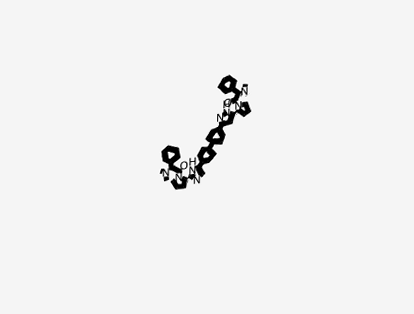 CN(C)[C@@H](C(=O)N1CCC[C@H]1c1cc(-c2ccc(-c3ccc(-c4cnc([C@@H]5CCCN5C(=O)[C@@H](c5ccccc5)N(C)C)[nH]4)cc3)cc2)n[nH]1)c1ccccc1